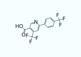 O=C(O)c1cnc(-c2ccc(C(F)(F)F)cc2)cc1C(F)(F)F